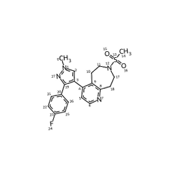 Cn1cc(-c2ccnc3c2CCN(S(C)(=O)=O)CC3)c(-c2ccc(F)cc2)n1